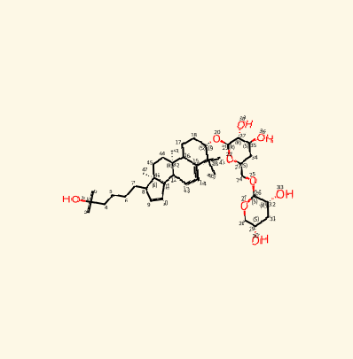 CC(C)(O)CCCCC1CCC2C3CC=C4C(CC[C@H](O[C@@H]5O[C@H](CO[C@@H]6OC[C@@H](O)C[C@H]6O)C[C@H](O)[C@H]5O)C4(C)C)[C@]3(C)CC[C@]12C